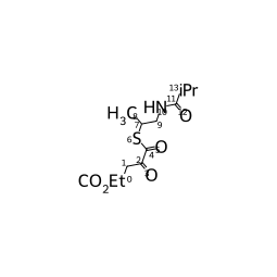 CCOC(=O)CC(=O)C(=O)SC(C)CNC(=O)C(C)C